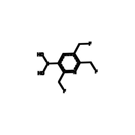 OB(O)c1cc(CF)c(CF)nc1CF